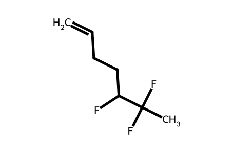 C=CCCC(F)C(C)(F)F